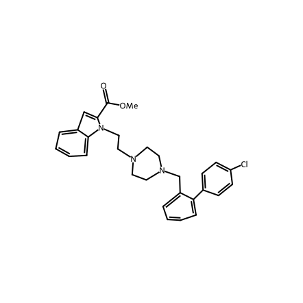 COC(=O)c1cc2ccccc2n1CCN1CCN(Cc2ccccc2-c2ccc(Cl)cc2)CC1